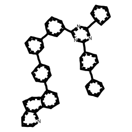 c1ccc(-c2ccc(-c3nc(-c4ccccc4)nc(-c4cccc(-c5cccc(-c6ccc(-c7cccc8c7ccc7cccnc78)cc6)c5)c4)n3)cc2)cc1